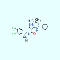 CC1(C)C[C@H](c2ccccc2)Nc2c(C(=O)N3C[C@H]4C[C@@]4(c4ccc(Cl)c(Cl)c4)C3)cnn21